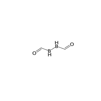 O=CBBC=O